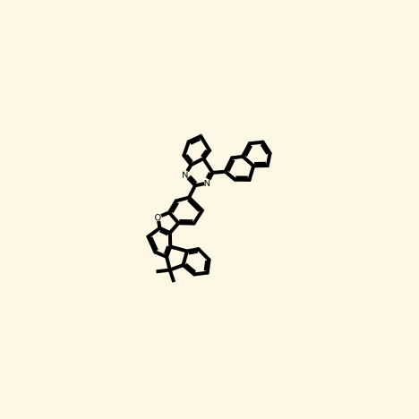 CC1(C)c2ccccc2-c2c1ccc1oc3cc(-c4nc(-c5ccc6ccccc6c5)c5ccccc5n4)ccc3c21